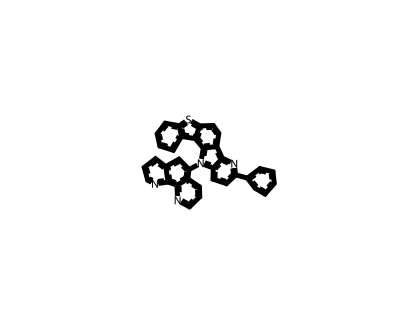 c1ccc(-c2ccc3c(n2)c2ccc4sc5ccccc5c4c2n3-c2cc3cccnc3c3ncccc23)cc1